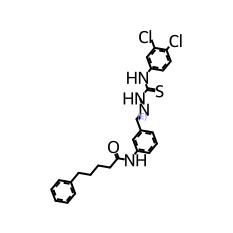 O=C(CCCCc1ccccc1)Nc1cccc(/C=N/NC(=S)Nc2ccc(Cl)c(Cl)c2)c1